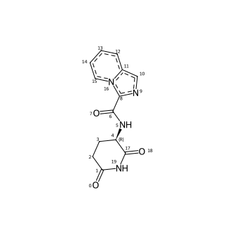 O=C1CC[C@@H](NC(=O)c2ncc3ccccn23)C(=O)N1